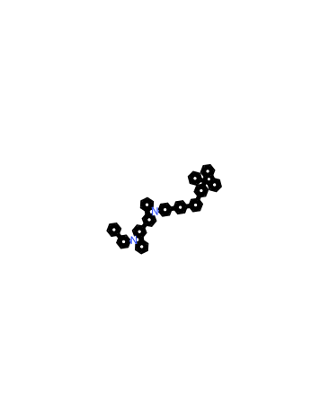 c1ccc(-c2cccc(-n3c4ccccc4c4cc(-c5ccc6c(c5)c5ccccc5n6-c5ccc(-c6ccc(-c7cccc(-c8ccc(C9(c%10ccccc%10)c%10ccccc%10-c%10ccccc%109)cc8)c7)cc6)cc5)ccc43)c2)cc1